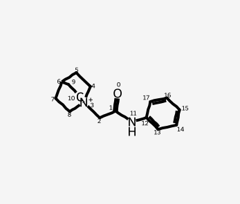 O=C(C[N+]12CCC(CC1)CC2)Nc1ccccc1